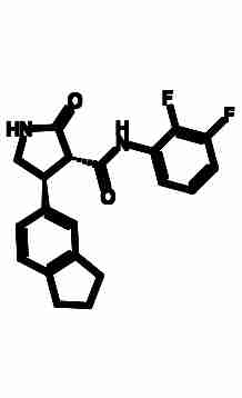 O=C1NC[C@H](c2ccc3c(c2)CCC3)[C@H]1C(=O)Nc1cccc(F)c1F